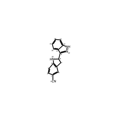 N#Cc1ccc2c(c1)CC(c1n[nH]c3ccccc13)N2